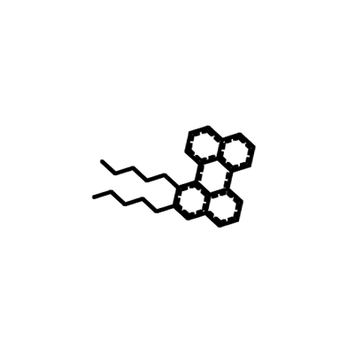 CCCCCc1cc2cccc3c4cccc5cccc(c(c1CCCCC)c23)c54